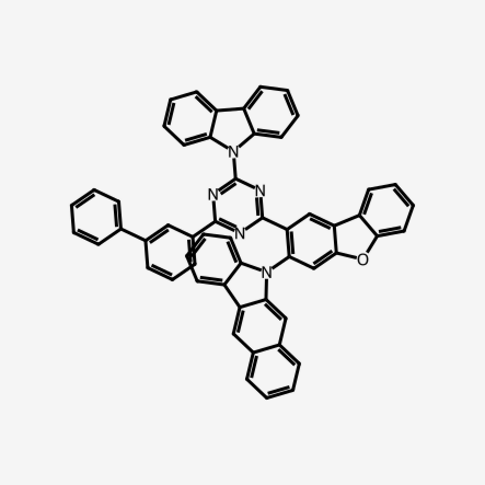 c1ccc(-c2cccc(-c3nc(-c4cc5c(cc4-n4c6ccccc6c6cc7ccccc7cc64)oc4ccccc45)nc(-n4c5ccccc5c5ccccc54)n3)c2)cc1